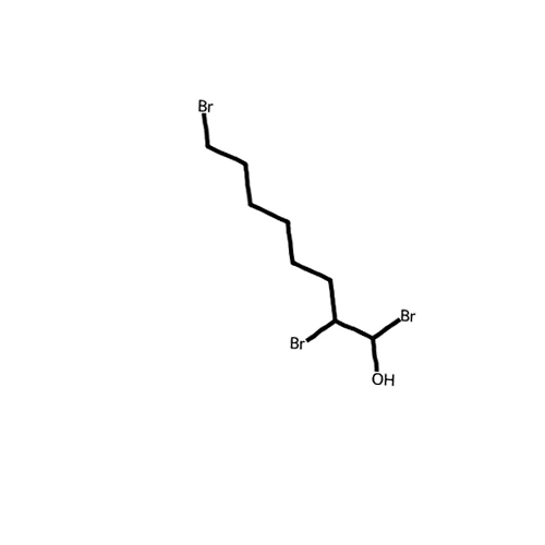 OC(Br)C(Br)CCCCCCBr